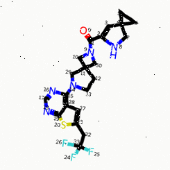 O=C(C1=CC2(CC2)CN1)N1CC2(CCN(c3ncnc4sc(CC(F)(F)F)cc34)C2)C1